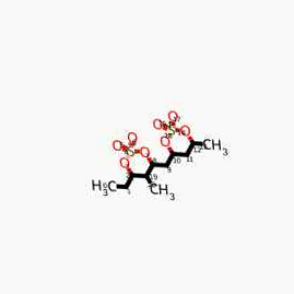 CCC1OS(=O)(=O)OC(CC2CC(C)OS(=O)(=O)O2)C1C